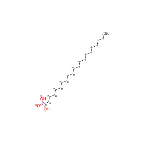 CC(C)(C)CCCCCCCCCCCCCCCCCCCP(=O)(O)O